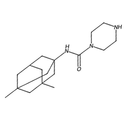 CC12CC3CC(C)(C1)CC(NC(=O)N1CCNCC1)(C3)C2